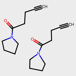 C#CCCC(=O)N1CCCC1.C#CCCC(=O)N1CCCC1